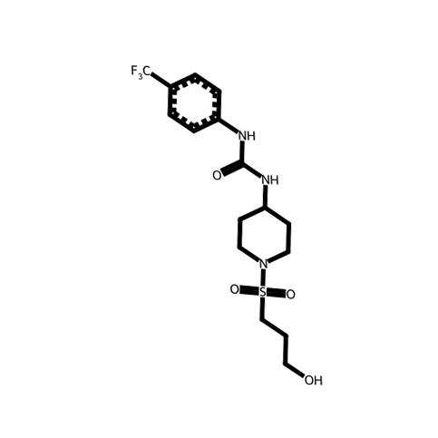 O=C(Nc1ccc(C(F)(F)F)cc1)NC1CCN(S(=O)(=O)CCCO)CC1